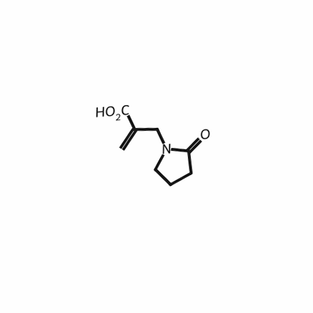 C=C(CN1CCCC1=O)C(=O)O